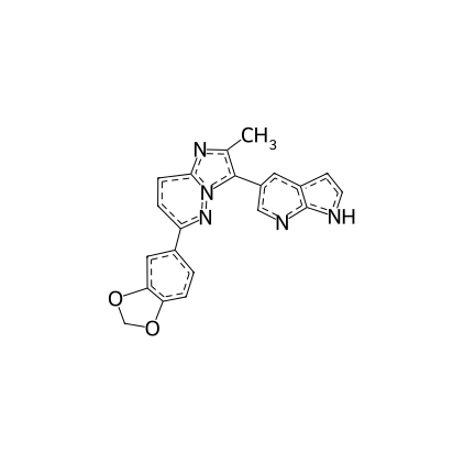 Cc1nc2ccc(-c3ccc4c(c3)OCO4)nn2c1-c1cnc2[nH]ccc2c1